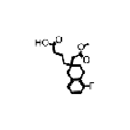 COC(=O)CC1(CCCC(=O)O)CCc2c(F)cccc2C1